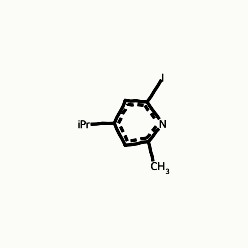 Cc1cc(C(C)C)cc(I)n1